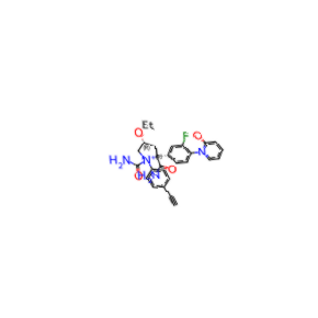 C#Cc1ccc([N+]2(C(N)=O)C[C@H](OCC)C[C@]2(C(N)=O)c2ccc(-n3ccccc3=O)c(F)c2)cc1